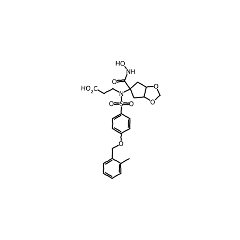 Cc1ccccc1COc1ccc(S(=O)(=O)N(CCC(=O)O)C2(C(=O)NO)CC3OCOC3C2)cc1